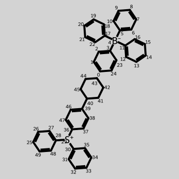 c1ccc([B-](c2ccccc2)(c2ccccc2)c2ccccc2)cc1.c1ccc([S+](c2ccccc2)c2ccc(C3CCCCC3)cc2)cc1